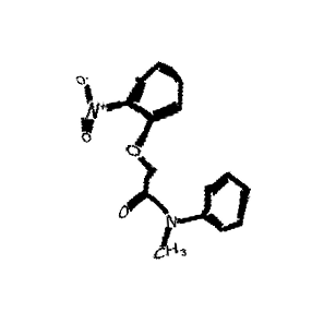 CN(C(=O)COc1ccccc1[N+](=O)[O-])c1ccccc1